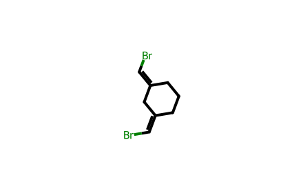 BrC=C1CCCC(=CBr)C1